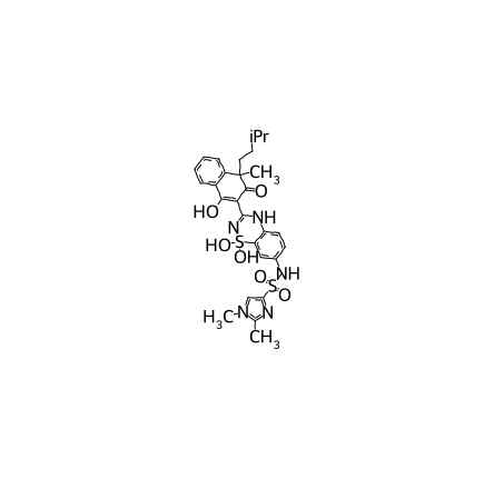 Cc1nc(S(=O)(=O)Nc2ccc3c(c2)S(O)(O)N=C(C2=C(O)c4ccccc4C(C)(CCC(C)C)C2=O)N3)cn1C